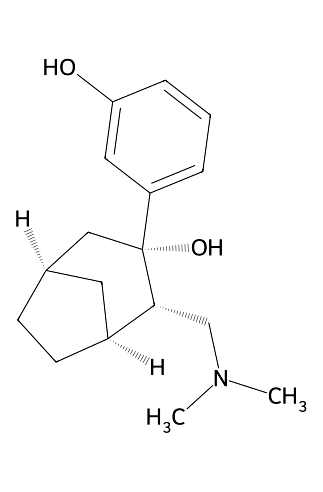 CN(C)C[C@@H]1[C@H]2CC[C@H](C2)C[C@@]1(O)c1cccc(O)c1